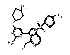 Cc1ccc(S(=O)(=O)n2cc(-c3cc(OC4CCC(C(F)(F)F)CC4)nc(C)n3)c3c(CF)nccc32)cc1